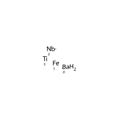 [BaH2].[Fe].[Nb].[Ti]